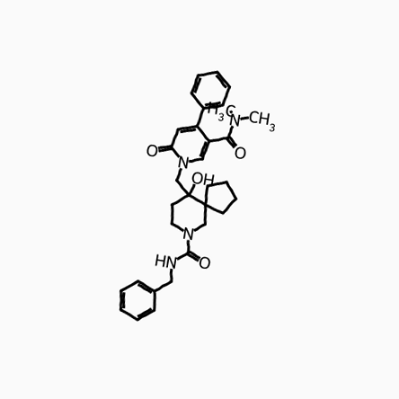 CN(C)C(=O)c1cn(CC2(O)CCN(C(=O)NCc3ccccc3)CC23CCCC3)c(=O)cc1-c1ccccc1